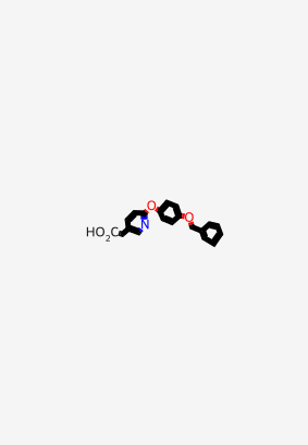 O=C(O)Cc1ccc(Oc2ccc(OCc3ccccc3)cc2)nc1